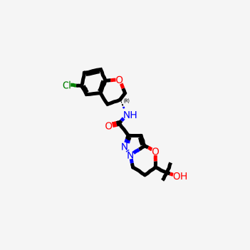 CC(C)(O)C1CCn2nc(C(=O)N[C@H]3COc4ccc(Cl)cc4C3)cc2O1